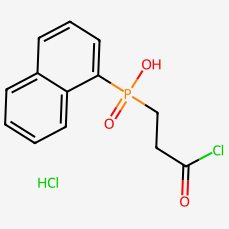 Cl.O=C(Cl)CCP(=O)(O)c1cccc2ccccc12